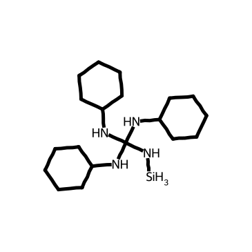 [SiH3]NC(NC1CCCCC1)(NC1CCCCC1)NC1CCCCC1